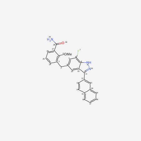 COc1c(Cc2cc(F)c3[nH]nc(-c4ccc5ccccc5c4)c3c2)cccc1C(N)=O